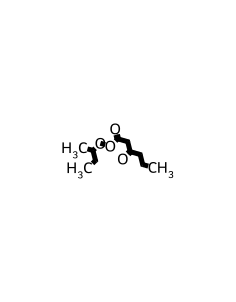 CCCC(=O)CC(=O)OOC(C)CC